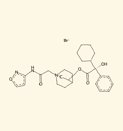 O=C(C[N+]12CCC(CC1)C(OC(=O)[C@](O)(c1ccccc1)C1CCCCC1)C2)Nc1ccon1.[Br-]